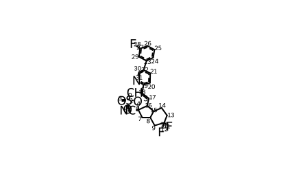 CS(=O)(=O)OC1(C#N)CC2CC(F)(F)CCC2C1C=Cc1ccc(-c2cccc(F)c2)cn1